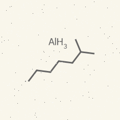 [AlH3].[CH2]CCCCC(C)C